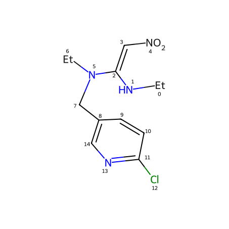 CCNC(=C[N+](=O)[O-])N(CC)Cc1ccc(Cl)nc1